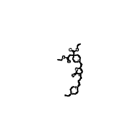 CCOC(=O)CC1(C(=O)OCC)CCN(CC2CN(CCCN3CCN(CC)CC3)C(=O)O2)CC1